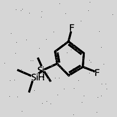 C[SiH](C)[Si](C)(C)c1cc(F)cc(F)c1